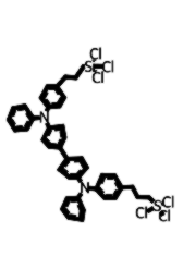 Cl[Si](Cl)(Cl)CCCc1ccc(N(c2ccccc2)c2ccc(-c3ccc(N(c4ccccc4)c4ccc(CCCS(Cl)(Cl)Cl)cc4)cc3)cc2)cc1